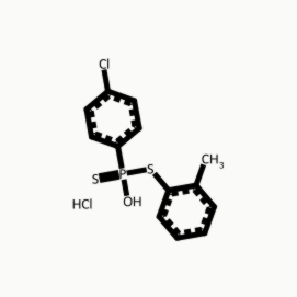 Cc1ccccc1SP(O)(=S)c1ccc(Cl)cc1.Cl